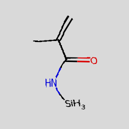 C=C(C)C(=O)N[SiH3]